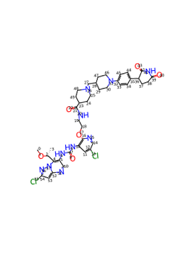 CO[C@H](C)c1c(NC(=O)Nc2cc(Cl)cnc2OCCNC(=O)C2CCN(CC3CCN(c4ccc(C5CCC(=O)NC5=O)cc4)CC3)CC2)cnc2cc(Cl)nn12